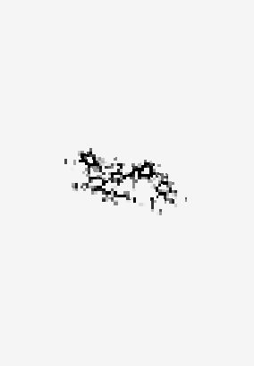 C=C/C(C(=O)c1cc2cc(F)c(NC(CCC)CC(C)CC)cc2[nH]1)=C(\C)NC1=CC(Oc2c(F)cccc2P)N(C)C=C1C(C)CCCC